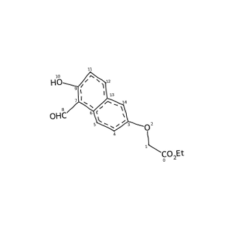 CCOC(=O)COc1ccc2c(C=O)c(O)ccc2c1